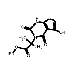 Cc1csc2[nH]c(=O)n(C(C)(C)C(=O)OC(C)(C)C)c(=O)c12